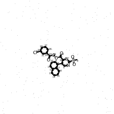 CS(=O)(=O)c1ncc(-c2cccc3ccccc23)c(C(=O)OOC(=O)c2cccc(Cl)c2)n1